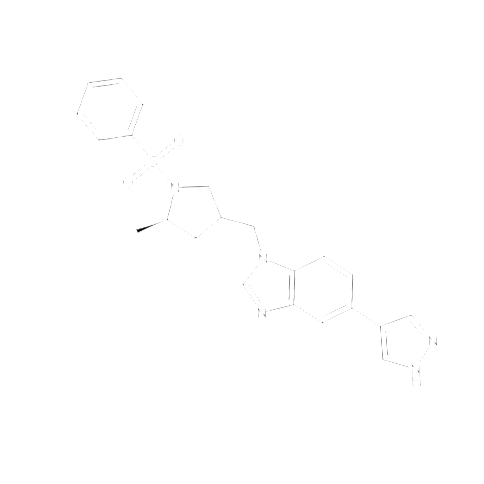 C[C@@H]1CC(Cn2cnc3cc(-c4cn[nH]c4)ccc32)CN1S(=O)(=O)c1ccccc1